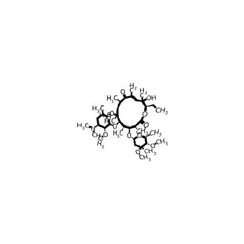 CC[C@H]1OC(=O)[C@H](C)[C@@H](O[C@H]2C[C@@](C)(OC)[C@@H](OC)[C@H](C)O2)[C@H](C)[C@@H](O[C@@H]2O[C@H](C)C[C@H](N(C)C)[C@H]2OC)[C@](C)(OC)C[C@@H](C)C(=O)/C(C)=C/[C@]1(C)O